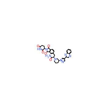 NC(=O)C(Cc1ccc2c(c1)C(=O)N(C1CCC(=O)NC1=O)C2=O)N1CCCC(n2cc(-c3cnc4ccccc4n3)cn2)C1